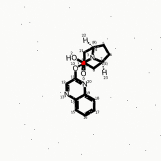 O=C(O)N1[C@@H]2CC[C@H]1C[C@@H](Oc1cnc3ccccc3n1)C2